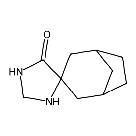 O=C1NCNC12CC1CCC(C1)C2